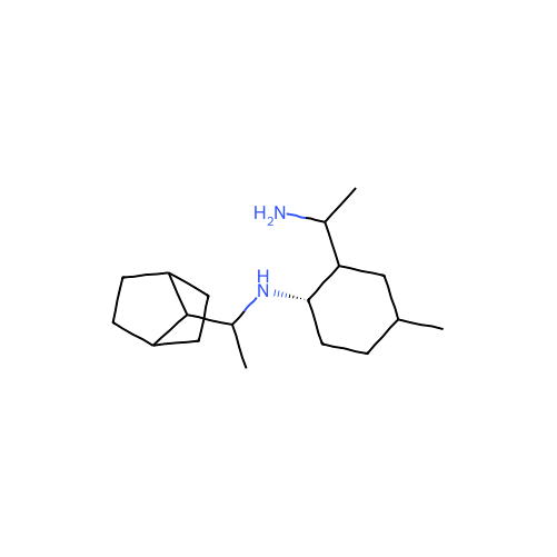 CC1CC[C@H](NC(C)C2C3CCC2CC3)C(C(C)N)C1